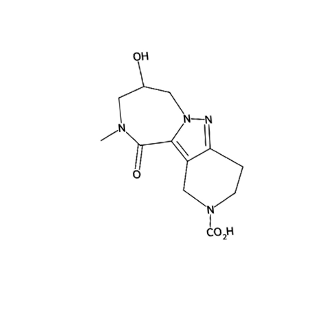 CN1CC(O)Cn2nc3c(c2C1=O)CN(C(=O)O)CC3